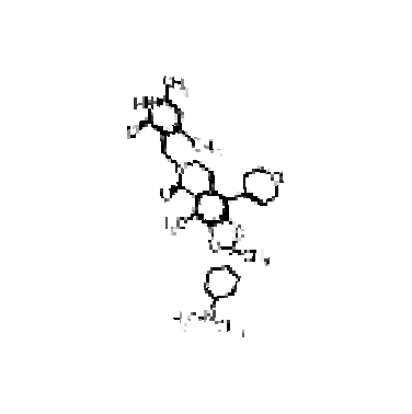 Cc1cc(C)c(CN2CCc3c(c(C)c4c(c3C3=CCOCC3)OC(C)([C@H]3CC[C@H](N(C)C)CC3)O4)C2=O)c(=O)[nH]1